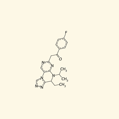 CCC1c2nncn2-c2cnc(CC(=O)c3ccc(F)cc3)nc2N1C(C)C